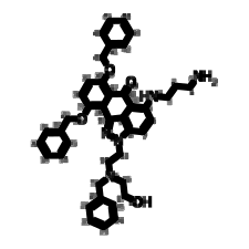 NCCCNc1ccc2c3c(nn2CCN(CCO)Cc2ccccc2)-c2c(OCc4ccccc4)ccc(OCc4ccccc4)c2C(=O)c13